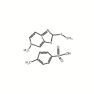 CSC1N=C2C=CN(C)C=C2S1.Cc1ccc(S(=O)(=O)O)cc1